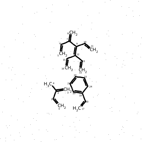 C=CC(=C)C.C=CC(=C)C(C=C)=C(C=C)C=C.C=Cc1ccccc1